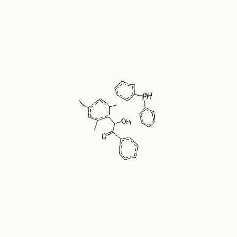 Cc1cc(C)c(C(O)C(=O)c2ccccc2)c(C)c1.c1ccc(Pc2ccccc2)cc1